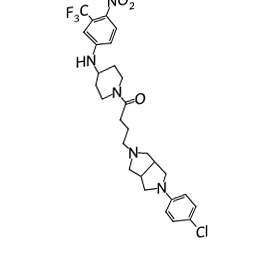 O=C(CCCN1CC2CN(c3ccc(Cl)cc3)CC2C1)N1CCC(Nc2ccc([N+](=O)[O-])c(C(F)(F)F)c2)CC1